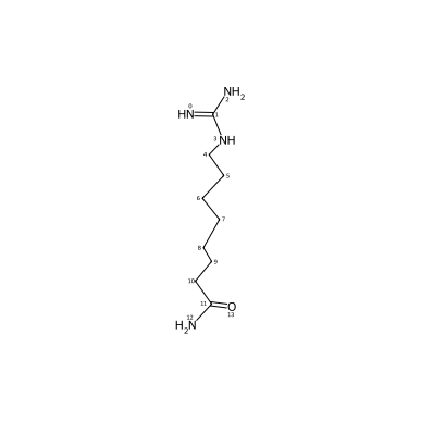 N=C(N)NCCCCCCCC(N)=O